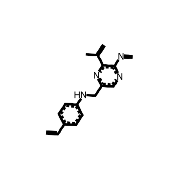 C=Cc1ccc(NCc2cnc(N=C)c(C(=C)C)n2)cc1